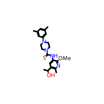 COc1nc(C)c(C(C)O)cc1NC(=S)N1CCN(c2cc(C)cc(C)c2)CC1